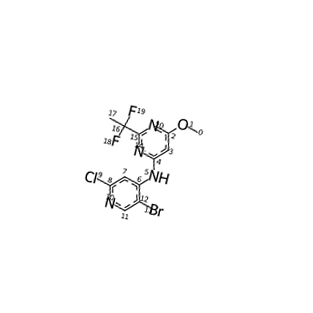 COc1cc(Nc2cc(Cl)ncc2Br)nc(C(C)(F)F)n1